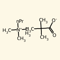 CC(C)(C)C(=O)[O-].CCC[N+](C)(C)C